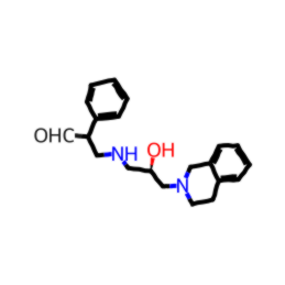 O=CC(CNC[C@@H](O)CN1CCc2ccccc2C1)c1ccccc1